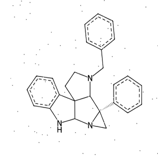 c1ccc(CN2CCC34c5ccccc5NC3N3C[C@]3(c3ccccc3)C24)cc1